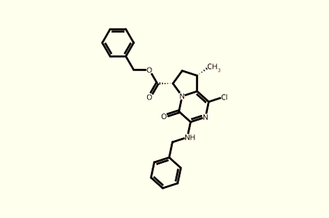 C[C@H]1C[C@@H](C(=O)OCc2ccccc2)n2c1c(Cl)nc(NCc1ccccc1)c2=O